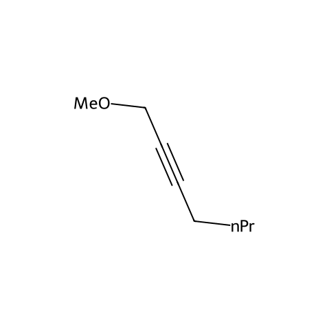 [CH2]CCCC#CCOC